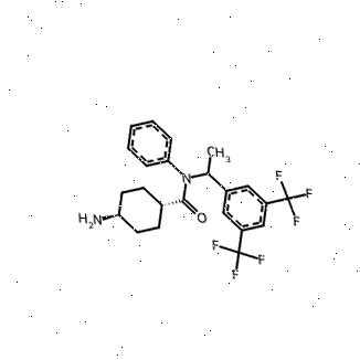 CC(c1cc(C(F)(F)F)cc(C(F)(F)F)c1)N(c1ccccc1)C(=O)[C@H]1CC[C@H](N)CC1